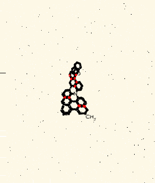 CC1C=C(c2cccc3cccc(-c4ccccc4N(c4cccc(-c5cccc6c5oc5ccccc56)c4)c4ccccc4-c4ccc5c(c4)oc4ccccc45)c23)C=CC1